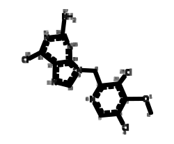 COc1c(Cl)cnc(Cn2cnc3c(Cl)nc(N)nc32)c1Cl